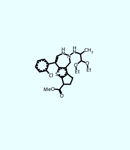 CCOC(OCC)C(C)NN1Cc2c(sc3c2CCC3C(=O)OC)C(c2ccccc2Cl)=CN1